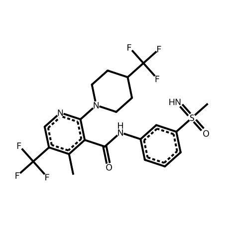 Cc1c(C(F)(F)F)cnc(N2CCC(C(F)(F)F)CC2)c1C(=O)Nc1cccc(S(C)(=N)=O)c1